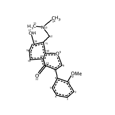 COc1ccccc1-c1coc2c(CN(C)C)c(O)ccc2c1=O